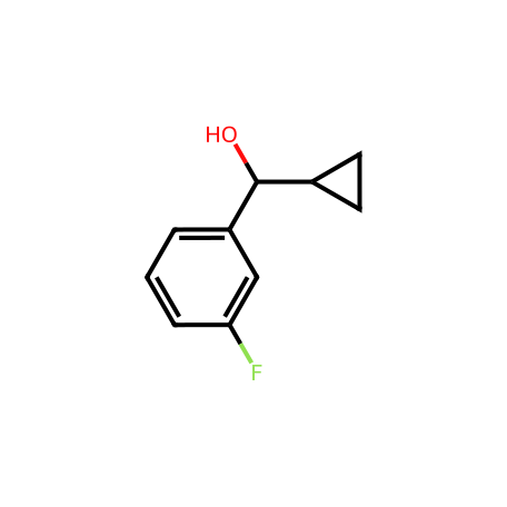 OC(c1cccc(F)c1)C1CC1